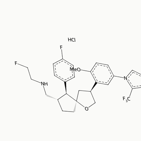 COc1ccc(-n2ccnc2C(F)(F)F)cc1[C@H]1CO[C@]2(CC[C@H](CNCCF)[C@H]2c2ccc(F)cc2)C1.Cl